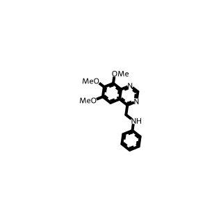 COc1cc2c(CNc3ccccc3)ncnc2c(OC)c1OC